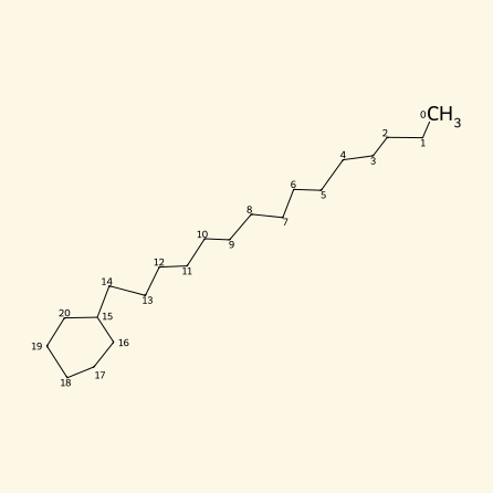 CCCCCCCCCCCCCCCC1CCCCC1